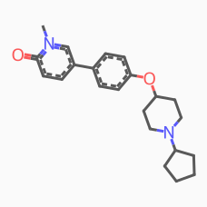 Cn1cc(-c2ccc(OC3CCN(C4CCCC4)CC3)cc2)ccc1=O